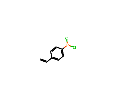 C=Cc1ccc(P(Cl)Cl)cc1